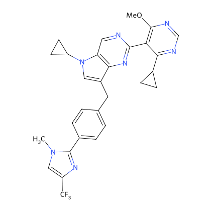 COc1ncnc(C2CC2)c1-c1ncc2c(n1)c(Cc1ccc(-c3nc(C(F)(F)F)cn3C)cc1)cn2C1CC1